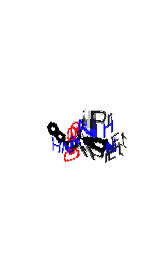 CCN(CC)c1ccc([C@H](C(=O)NC(C)C)N2C(=O)C(C3Cc4ccccc4C3)NC(=O)[C@H]2CC(C)C)cc1